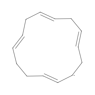 [CH]1/C=C/CC/C=C/C/C=C/C/C=C/C1